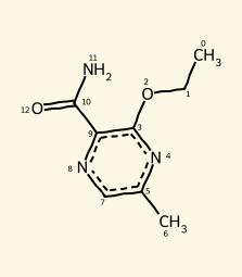 CCOc1nc(C)cnc1C(N)=O